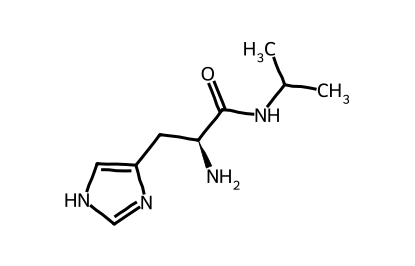 CC(C)NC(=O)[C@@H](N)Cc1c[nH]cn1